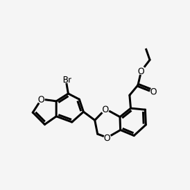 CCOC(=O)Cc1cccc2c1OC(c1cc(Br)c3occc3c1)CO2